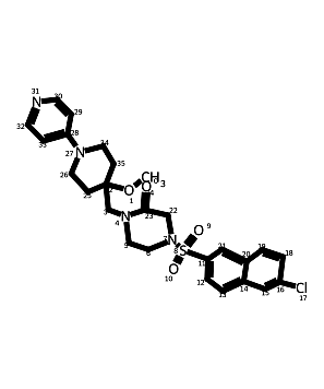 COC1(CN2CCN(S(=O)(=O)c3ccc4cc(Cl)ccc4c3)CC2=O)CCN(c2ccncc2)CC1